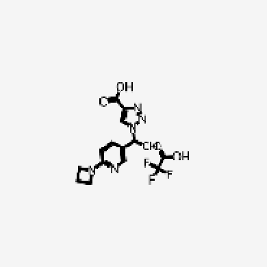 CC(c1ccc(N2CCC2)nc1)n1cc(C(=O)O)nn1.O=C(O)C(F)(F)F